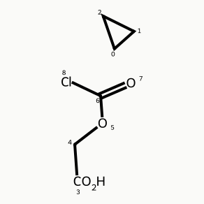 C1CC1.O=C(O)COC(=O)Cl